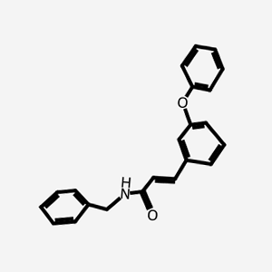 O=C(/C=C/c1cccc(Oc2ccccc2)c1)NCc1ccccc1